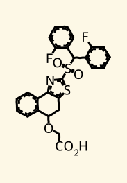 O=C(O)COC1Cc2sc(S(=O)(=O)C(c3ccccc3F)c3ccccc3F)nc2-c2ccccc21